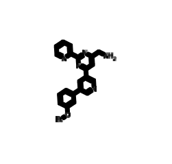 CCOc1cccc(-c2cncc(-c3cc(CN)nc(-c4ccccn4)n3)c2)c1